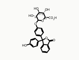 O=C1OC(c2ccc(O)cc2)(c2ccc(OC3O[C@H](C(=O)O)[C@@H](O)[C@H](O)[C@H]3O)cc2)c2ccccc21